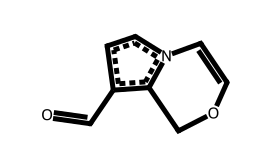 O=Cc1ccn2c1COC=C2